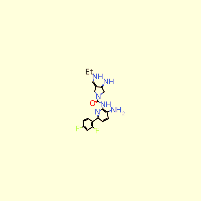 CCN/C=C1/CN(C(=O)Nc2nc(-c3ccc(F)cc3F)ccc2N)CC1=N